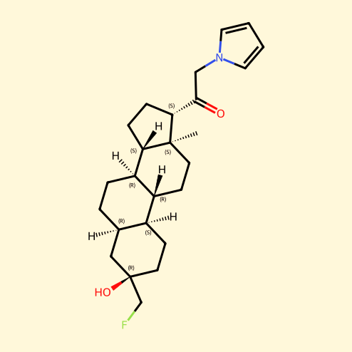 C[C@]12CC[C@H]3[C@@H](CC[C@@H]4C[C@@](O)(CF)CC[C@@H]43)[C@@H]1CC[C@@H]2C(=O)Cn1cccc1